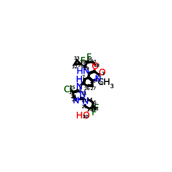 Cn1c(=O)c2c(c3cc(Nc4nc(N5CCC(F)(F)[C@H](O)C5)ncc4Cl)ccc31)N[C@@H](C1CC1)C(F)(F)CO2